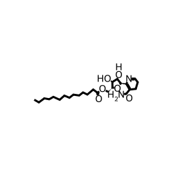 CCCCCCCCCCCCCC(=O)OC[C@H]1O[C@H](C2=C(C(N)=O)CCC=N2)[C@H](O)[C@@H]1O